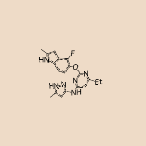 CCc1cc(Nc2cc(C)[nH]n2)nc(Oc2ccc3[nH]c(C)cc3c2F)n1